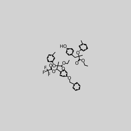 CCOC(=O)C(C)(Cc1ccc(O)cc1)Oc1cccc(C)c1.CCOC(=O)C(C)(Oc1cccc(C)c1)C(OC(=O)C(F)(F)F)c1ccc(OCc2ccccc2)cc1